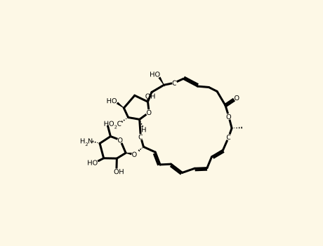 CC1O[C@@H](O[C@H]2/C=C/C=C/C=C/C=C/C[C@@H](C)OC(=O)CC/C=C/C[C@H](O)C[C@]3(O)C[C@H](O)[C@@H](C(=O)O)[C@H](C2)O3)C(O)C(O)[C@@H]1N